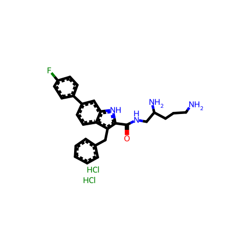 Cl.Cl.NCCCC(N)CNC(=O)c1[nH]c2cc(-c3ccc(F)cc3)ccc2c1Cc1ccccc1